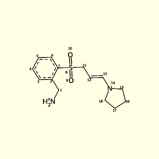 NCc1ccccc1S(=O)(=O)CC=CN1CCCC1